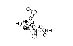 CC(C)[C@H](NC(=O)OCc1cccc(Cl)c1)C(=O)N[C@@H](CC1CCCCC1)C(=O)N[C@H](C=O)C[C@@H]1CCNC1=O